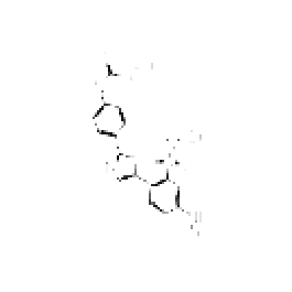 CCNc1ccc(-c2cnc(-c3ccc(NC(=O)OC(C)C)cc3)s2)c(S(=O)(=O)NC(C)(C)C)c1